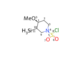 CO[C@H]1CCN(S(=O)(=O)Cl)CC1[SiH3]